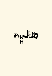 CC(C)NCCNCC1CCCN1